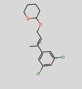 C/C(=C\COC1CCCCO1)c1cc(Cl)cc(Cl)c1